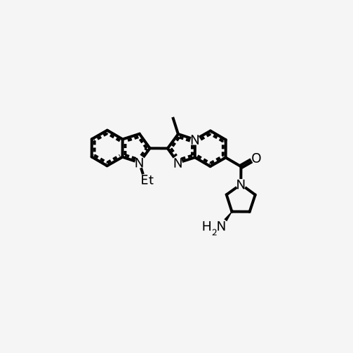 CCn1c(-c2nc3cc(C(=O)N4CC[C@@H](N)C4)ccn3c2C)cc2ccccc21